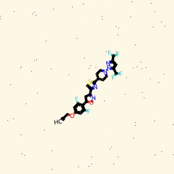 C#CCOc1cc(F)c(C2CC(c3csc(C4CCN(n5nc(C(F)F)cc5C(F)F)CC4)n3)=NO2)c(F)c1